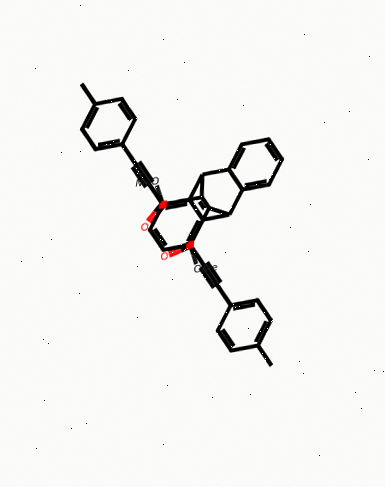 COC(=O)C1=C(C(=O)OC)C2c3ccccc3C1c1c(C#Cc3ccc(C)cc3)ccc(C#Cc3ccc(C)cc3)c12